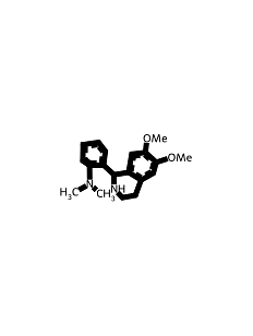 COc1cc2c(cc1OC)C(c1ccccc1N(C)C)NCC2